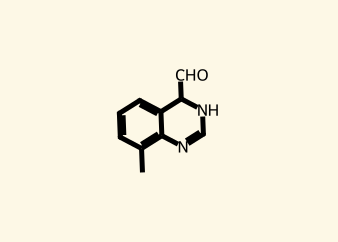 Cc1cccc2c1N=CNC2C=O